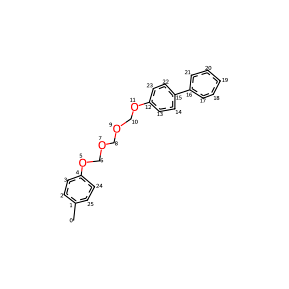 Cc1ccc(OCOCOCOc2ccc(-c3ccccc3)cc2)cc1